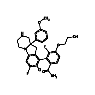 COc1cccc(C23CNCCN2c2cc(F)c(Cl)c(-c4c(C(N)=O)ccc(OCCO)c4F)c2C3)c1